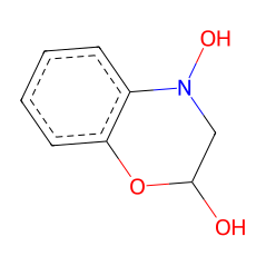 OC1CN(O)c2ccccc2O1